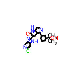 CC(C)(O)c1cccc(-c2nccc3[nH]c(=O)c(-c4nc5cnc(Cl)cc5[nH]4)cc23)c1